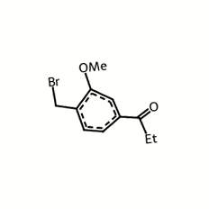 CCC(=O)c1ccc(CBr)c(OC)c1